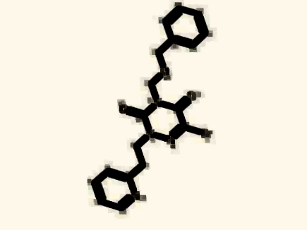 O=c1c(Br)nn(CCc2ccccn2)c(=O)n1COCc1ccccc1